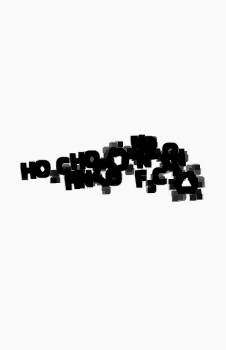 O=C(O)CCN[C@@H]1COc2cc(-c3noc(-c4onc(-c5ccccc5)c4C(F)(F)F)n3)ccc2[C@@H]1O